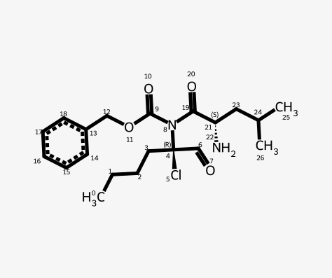 CCCC[C@@](Cl)(C=O)N(C(=O)OCc1ccccc1)C(=O)[C@@H](N)CC(C)C